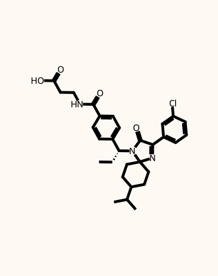 CC[C@H](c1ccc(C(=O)NCCC(=O)O)cc1)N1C(=O)C(c2cccc(Cl)c2)=NC12CCC(C(C)C)CC2